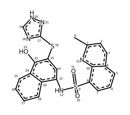 Cc1ccc2cccc(S(=O)(=O)Nc3cc(Sc4nc[nH]n4)c(O)c4ccccc34)c2n1